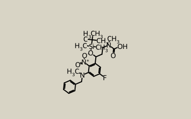 CN(CCC(O[Si](C)(C)C(C)(C)C)c1cc(F)cc(N(C)Cc2ccccc2)c1[N+](=O)[O-])C(=O)O